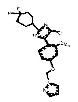 COc1cc(OCn2cccn2)ccc1-c1[nH]c(C2CCC(F)(F)CC2)nc1Cl